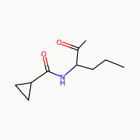 CCCC(NC(=O)C1CC1)C(C)=O